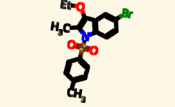 [CH2]COc1c(C)n(S(=O)(=O)c2ccc(C)cc2)c2ccc(Br)cc12